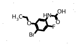 CCOc1cc(NC(=O)O)c(F)cc1Br